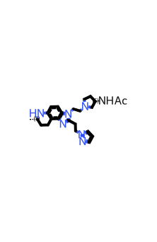 CC(=O)N[C@H]1CCN(CCn2c(CCn3cccn3)nc3c4c(ccc32)N[C@@H](C)CC4)C1